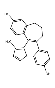 Cc1ccsc1C1=C(c2ccc(O)cc2)CCCc2cc(O)ccc21